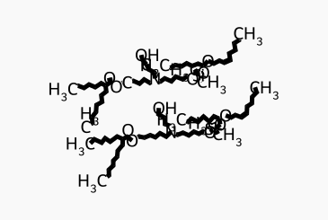 CCCCC/C=C\CCOC(CCCCCCC)O[Si](C)(C)OCCCCCCN(CCCCO)CCCCCCOC(=O)C(CCCCCC)CCCCCCCC.CCCCC/C=C\CCOC(CCCCCCC)O[Si](C)(C)OCCCCCCN(CCCCO)CCCCCCOC(=O)C(CCCCCC)CCCCCCCC